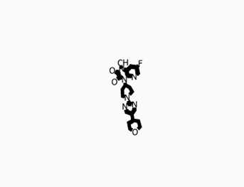 Cn1c(=O)c(=O)n(C2CCN(c3ncc(C4=CCOCC4)cn3)CC2)c2ncc(F)cc21